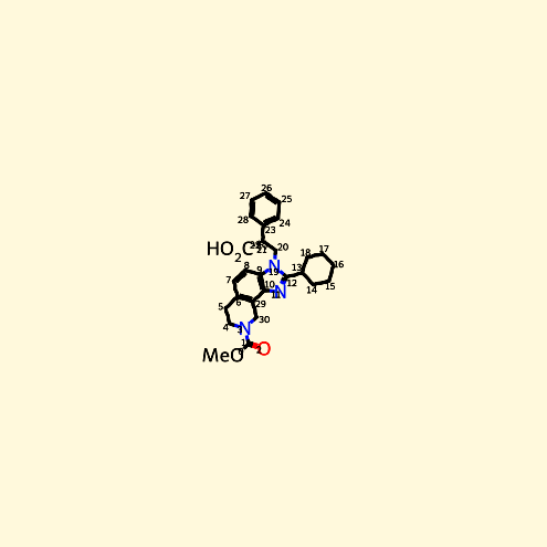 COC(=O)N1CCc2ccc3c(nc(C4CCCCC4)n3C[C@H](C(=O)O)c3ccccc3)c2C1